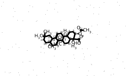 CC(=O)O[C@@H]1CC[C@@]2(C)C(CC[C@]3(C)C2CC=C2C4CC(C)(C)CC[C@]4(C)CC[C@]23C)[C@@]1(C)C(=O)O